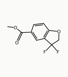 COC(=O)c1ccc2c(c1)C(F)(F)CO2